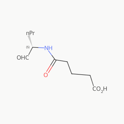 CCC[C@@H](C=O)NC(=O)CCCC(=O)O